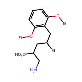 CCOc1cccc(OCC)c1CC(CC)CC(CN)C(=O)O